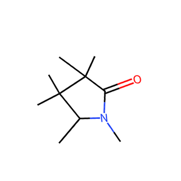 CC1N(C)C(=O)C(C)(C)C1(C)C